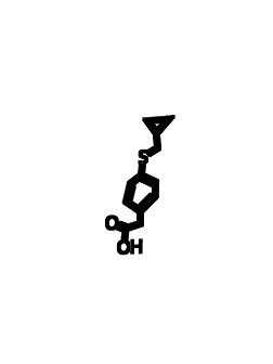 O=C(O)Cc1ccc(SCC2CC2)cc1